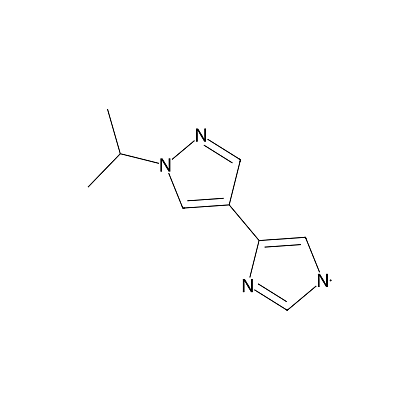 CC(C)n1cc(C2=C[N]C=N2)cn1